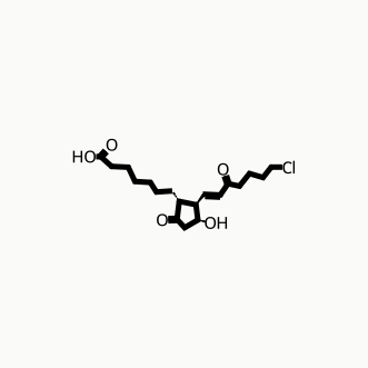 O=C(O)CCCCCC[C@H]1C(=O)C[C@@H](O)[C@@H]1C=CC(=O)CCCCCl